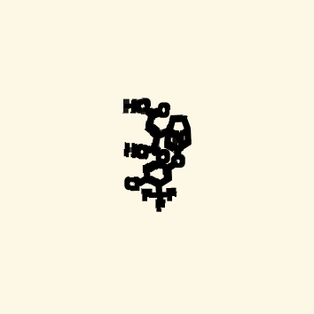 CN1C2CCC1(/C(=C\C(=O)O)C(=O)O)CC(Oc1ccc(Cl)c(C(F)(F)F)c1)C2